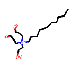 CCCCCCCCCC[N+](CCO)(CCO)CCO